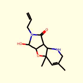 C=CCN1C(=O)C2C(OC3(C)C=C(C)CNC23)C1O